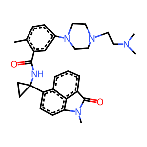 Cc1ccc(N2CCN(CCN(C)C)CC2)cc1C(=O)NC1(c2ccc3c4c(cccc24)C(=O)N3C)CC1